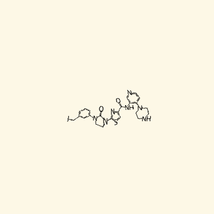 O=C(Nc1cnccc1N1CCNCC1)c1csc(N2CCN(c3cccc(CI)c3)C2=O)n1